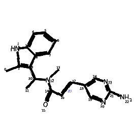 Cc1[nH]c2ccccc2c1C(C)N(C)C(=O)/C=C/c1cnc(N)nc1